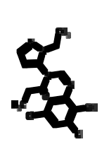 CCC(=O)N(/C=N\c1cc(Cl)cc(Cl)c1O)c1ccnn1CC